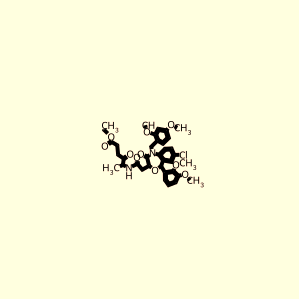 CCOC(=O)CCC(=O)C(C)NC(=O)CC1OC(c2cccc(OC)c2OC)c2cc(Cl)ccc2N(Cc2ccc(OC)cc2OC)C1=O